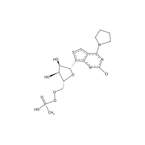 CP(=O)(O)OOC[C@H]1O[C@@H](c2scc3c(N4CCCC4)nc(Cl)nc23)[C@H](O)[C@@H]1O